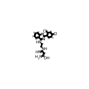 N=C(/C=C(\N)O)NCCNc1nc(-c2ccc(Cl)cc2Cl)nc2ccccc12